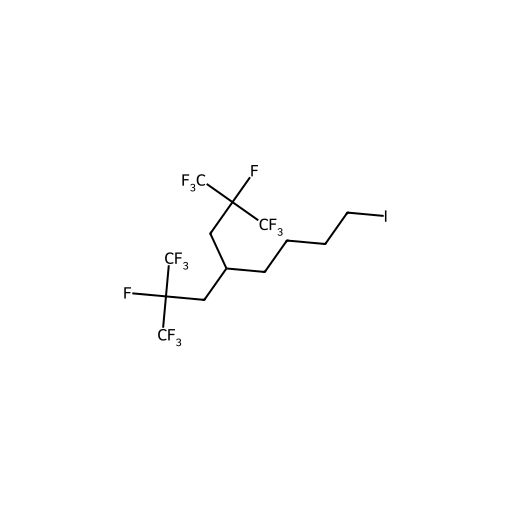 FC(F)(F)C(F)(CC(CCCCI)CC(F)(C(F)(F)F)C(F)(F)F)C(F)(F)F